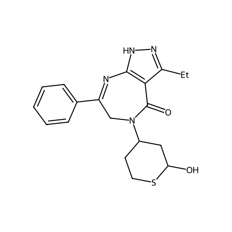 CCc1n[nH]c2c1C(=O)N(C1CCSC(O)C1)CC(c1ccccc1)=N2